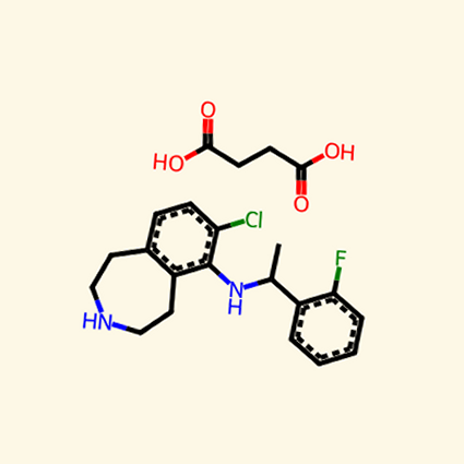 CC(Nc1c(Cl)ccc2c1CCNCC2)c1ccccc1F.O=C(O)CCC(=O)O